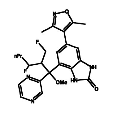 CCCC(F)C(CF)C(OC)(c1cnccn1)c1cc(-c2c(C)noc2C)cc2[nH]c(=O)[nH]c12